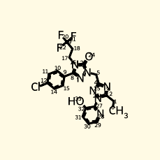 CCc1nc(Cn2nc(-c3ccc(Cl)cc3)n(CCC(F)(F)F)c2=O)nn1-c1ncccc1O